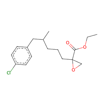 CCOC(=O)C1(CCCC(C)Cc2ccc(Cl)cc2)CO1